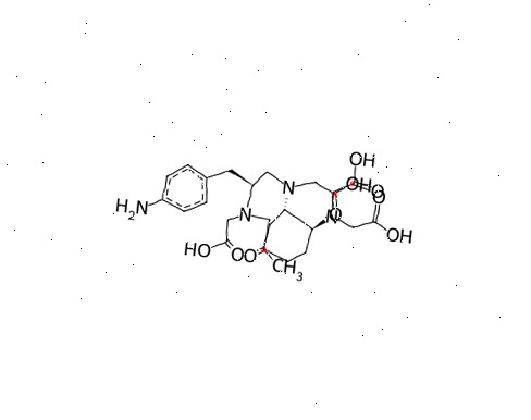 CC(=O)CN(CC(=O)O)[C@@H](Cc1ccc(N)cc1)CN(CC(=O)O)[C@H]1CCCC[C@@H]1N(CC(=O)O)CC(=O)O